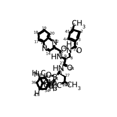 Cc1ccc(C(=O)NC[C@H](NC(=O)c2cnc3ccccc3n2)C(=O)N[C@@H](CC(C)C)B2O[C@@H]3C[C@@H]4C[C@@H](C4(C)C)[C@]3(C)O2)cc1